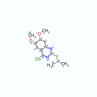 COc1cc2nc(CC(C)C)nc(Cl)c2cc1OC